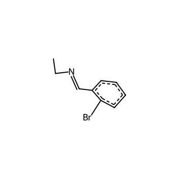 CC/N=C/c1ccccc1Br